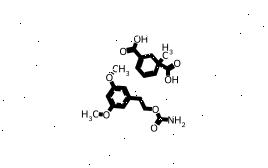 CC1(C(=O)O)C=CC=C(C(=O)O)C1.COc1cc(CCOC(N)=O)cc(OC)c1